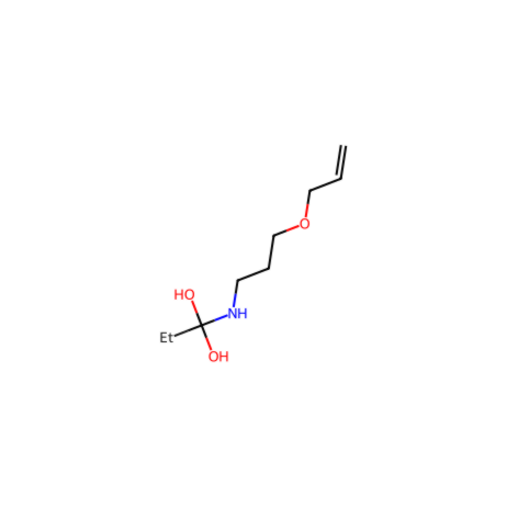 C=CCOCCCNC(O)(O)CC